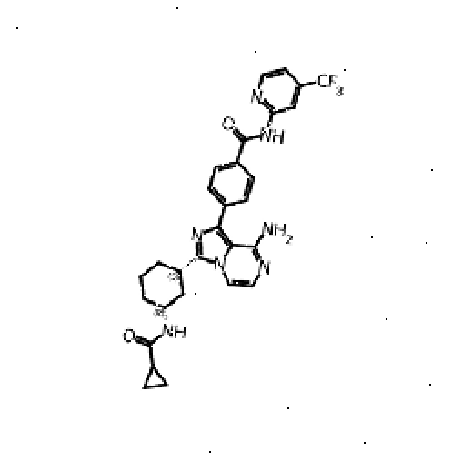 Nc1nccn2c([C@H]3CCC[C@@H](NC(=O)C4CC4)C3)nc(-c3ccc(C(=O)Nc4cc(C(F)(F)F)ccn4)cc3)c12